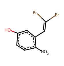 O=[N+]([O-])c1ccc(O)cc1C=C(Br)Br